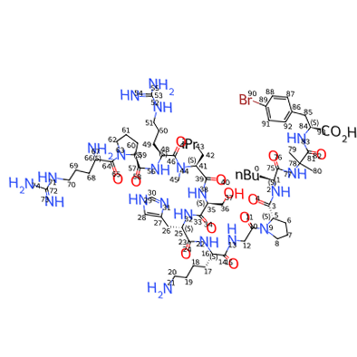 CCCC[C@H](NC(=O)[C@@H]1CCCN1C(=O)CNC(=O)[C@H](CCCCN)NC(=O)[C@H](Cc1c[nH]cn1)NC(=O)[C@H](CO)NC(=O)[C@H](CC(C)C)N(C)C(=O)[C@H](CCCNC(=N)N)NC(=O)[C@@H]1CCCN1C(=O)[C@@H](N)CCCNC(=N)N)C(=O)NC(C)(C)C(=O)N[C@@H](Cc1ccc(Br)cc1)C(=O)O